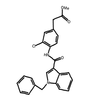 COC(=O)Cc1ccc(NC(=O)c2cn(Cc3ccccc3)c3ccccc23)c(Cl)c1